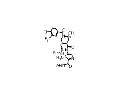 CNC(=O)c1ncc(-n2c(NC(C)C)nc3c(c2=O)C[C@@H](C)N(C(=O)c2ccc(Cl)c(C(F)(F)F)c2)C3)n1C